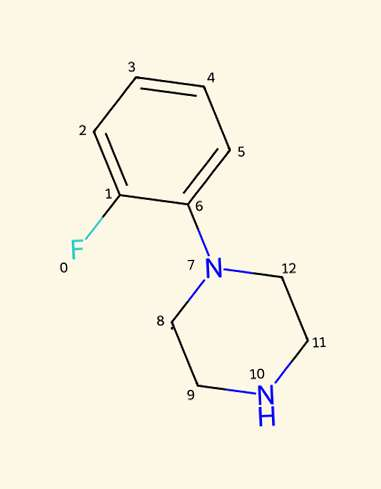 Fc1ccccc1N1[CH]CNCC1